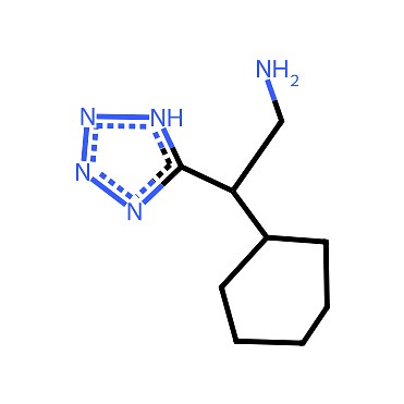 NCC(c1nnn[nH]1)C1CCCCC1